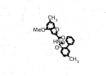 COc1cc(C)cc2oc(C(=O)NS(=O)(=O)c3ccc(C)cc3-c3ccccc3)cc12